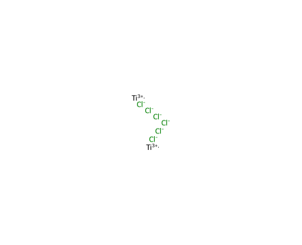 [Cl-].[Cl-].[Cl-].[Cl-].[Cl-].[Cl-].[Ti+3].[Ti+3]